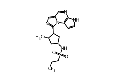 C[C@@H]1C[C@H](NS(=O)(=O)CCC(F)(F)F)C[C@@H]1c1ncc2cnc3[nH]ccc3n12